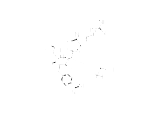 C=CCNC(=O)C(Cc1ccc(C(=N)N)cc1)C(=O)N(C)C(C(=O)N[C@@H](CCCNC(=N)N)C(N)=O)C(C)CC.O=C(O)C(F)(F)F